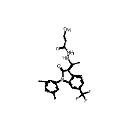 C/C(NNC(=O)CCO)=C1/C(=O)N(c2cc(C)cc(C)c2)c2cc(C(F)(F)F)ccc21